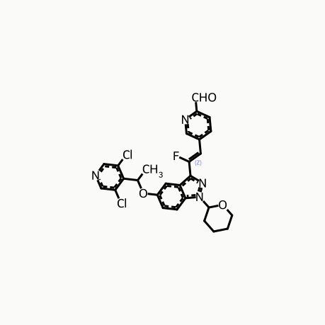 CC(Oc1ccc2c(c1)c(/C(F)=C/c1ccc(C=O)nc1)nn2C1CCCCO1)c1c(Cl)cncc1Cl